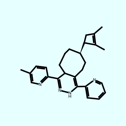 CC1=C(C)C([C@@H]2CCCC3C(c4ccc(C)cn4)=NNC(c4ccccn4)=C3CC2)C1